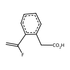 C=C(F)c1ccccc1CC(=O)O